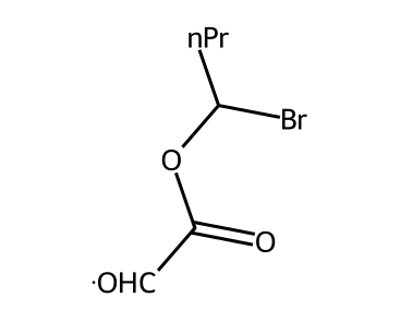 CCCC(Br)OC(=O)[C]=O